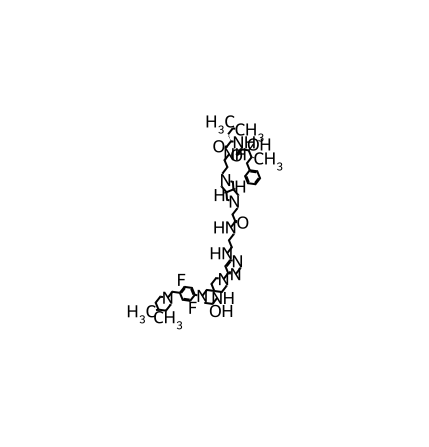 CC(C)C[C@H](NC(=O)[C@@H](O)[C@H](C)Cc1ccccc1)C(=O)NCCCN1C[C@@H]2CN(CCC(=O)NCCCNc3cc(N4CCC5(CC4)CN(c4cc(F)c(CN6CCC(C)(C)CC6)cc4F)CC(O)N5)ncn3)C[C@@H]2C1